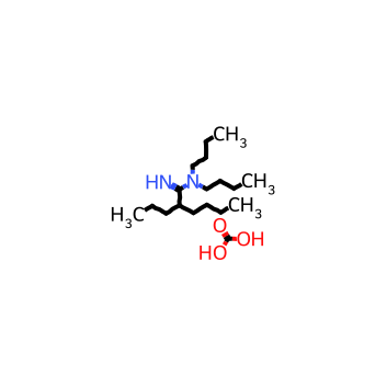 CCCCC(CCC)C(=N)N(CCCC)CCCC.O=C(O)O